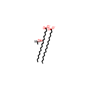 CCCCCCCCCCCCCCCCCC(=O)[O-].CCCCCCCCCCCCCCCCCC(=O)[O-].CCO.[Mn+2]